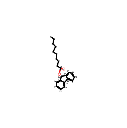 CCCCCCCCCC(=O)OC1c2ccccc2-c2ccccc21